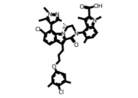 Cc1cc(OCCCc2c3n(c4c(-c5c(C)nn(C)c5C)c(Cl)ccc24)[C@H](C)CN(c2c(C)ccc4c2c(C)c(C(=O)O)n4C)C3=O)cc(C)c1Cl